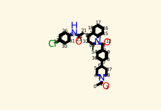 CC(=O)N1CCC(c2ccc(C(=O)N3c4ccccc4[C@@H](CC(=O)Nc4ccc(Cl)cc4)C[C@@H]3C)cc2)CC1